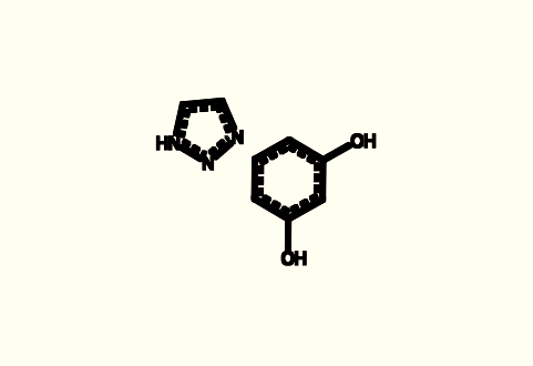 Oc1cccc(O)c1.c1c[nH]nn1